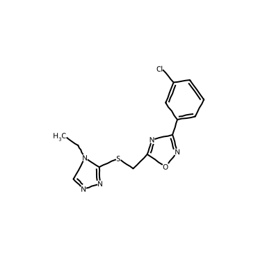 CCn1cnnc1SCc1nc(-c2cccc(Cl)c2)no1